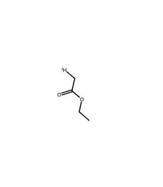 [3H]CC(=O)OCC